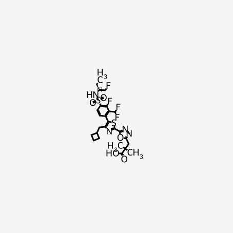 CC[C@@H](CF)NS(=O)(=O)c1ccc(-c2sc(-c3nnc(CC(C)(C)C(=O)O)o3)nc2CC2CCC2)c(C(F)F)c1F